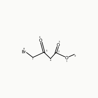 COC(=O)CC(=O)CBr